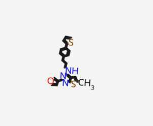 Cc1cc2c(NCCCc3ccc(-c4cccs4)cc3)nc(-c3ccoc3)nc2s1